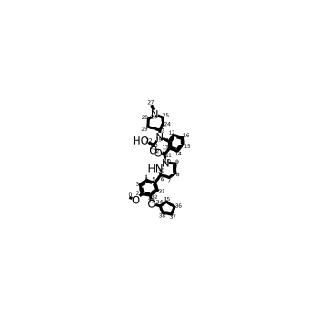 COc1ccc(C2CC=CN(C(=O)c3ccccc3N(C(=O)O)C3CCN(C)CC3)N2)cc1OC1CCCC1